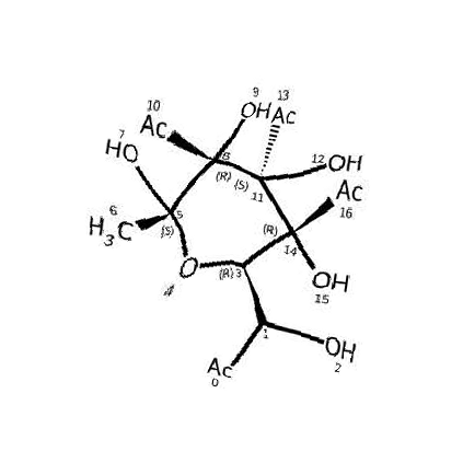 CC(=O)C(O)[C@H]1O[C@](C)(O)[C@@](O)(C(C)=O)[C@](O)(C(C)=O)[C@@]1(O)C(C)=O